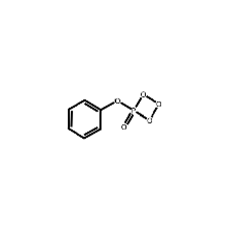 O=P1(Oc2ccccc2)OOO1